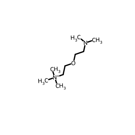 CN(C)CCOCC[N+](C)(C)C